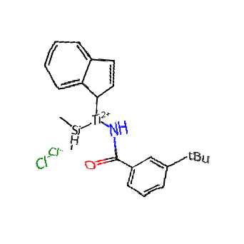 C[SiH](C)[Ti+2]([NH]C(=O)c1cccc(C(C)(C)C)c1)[CH]1C=Cc2ccccc21.[Cl-].[Cl-]